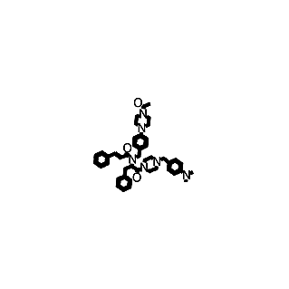 CC(=O)N1CCN(c2ccc(CN(C(=O)C=Cc3ccccc3)C(Cc3ccccc3)C(=O)N3CCN(Cc4ccc(N(C)C)cc4)CC3)cc2)CC1